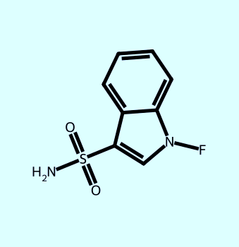 NS(=O)(=O)c1cn(F)c2ccccc12